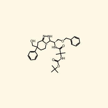 CC(C)(C)OC(=O)NC(C)(C)C(=O)N[C@H](COCc1ccccc1)C1NN=C2CC(CO)(c3ccccc3)CCN21